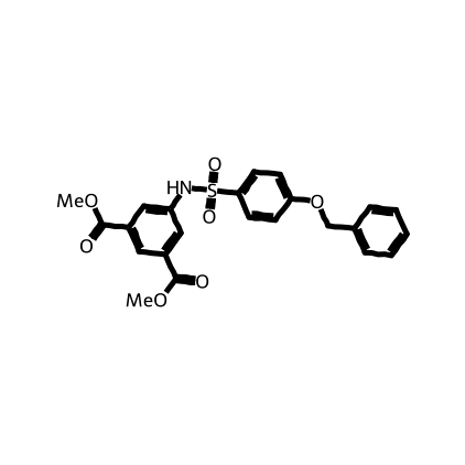 COC(=O)c1cc(NS(=O)(=O)c2ccc(OCc3ccccc3)cc2)cc(C(=O)OC)c1